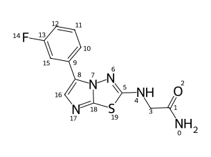 NC(=O)CNc1nn2c(-c3cccc(F)c3)cnc2s1